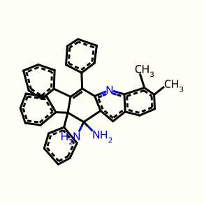 Cc1ccc2cc3c(nc2c1C)C(c1ccccc1)=C(c1ccccc1)C(c1ccccc1)(c1ccccc1)C3(N)N